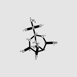 CS(=O)(=O)[B-]12OC(=N)C(CC(=O)O1)S(=O)(=O)O2